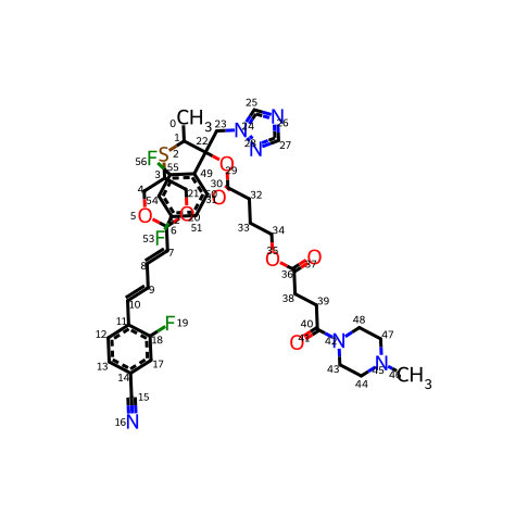 CC(SC1COC(C=CC=Cc2ccc(C#N)cc2F)OC1)C(Cn1cncn1)(OC(=O)CCCOC(=O)CCC(=O)N1CCN(C)CC1)c1ccc(F)cc1F